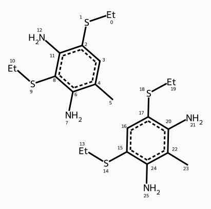 CCSc1cc(C)c(N)c(SCC)c1N.CCSc1cc(SCC)c(N)c(C)c1N